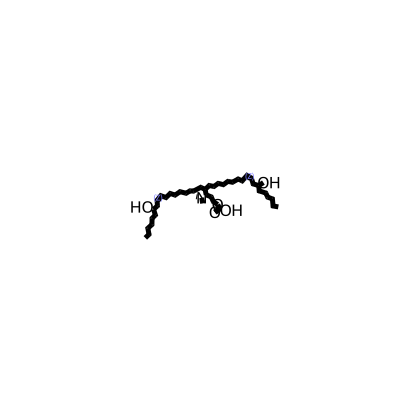 CCCCCCC(O)C/C=C\CCCCCCCCC(CCCCCCCC/C=C\CC(O)CCCCCC)C(CCOC(=O)O)N(C)C